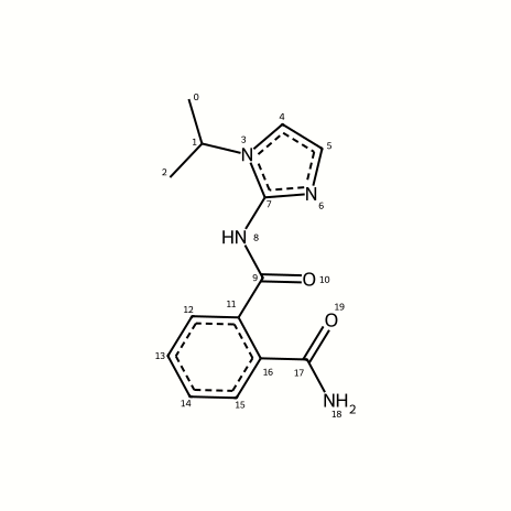 CC(C)n1ccnc1NC(=O)c1ccccc1C(N)=O